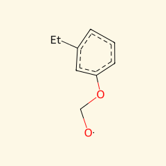 CCc1cccc(OC[O])c1